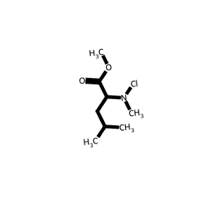 COC(=O)C(CC(C)C)N(C)Cl